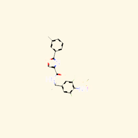 Cc1cccc(-c2nc(C(=O)N[C@H](C)c3cc(F)c(NS(C)(=O)=O)c(F)c3)co2)c1